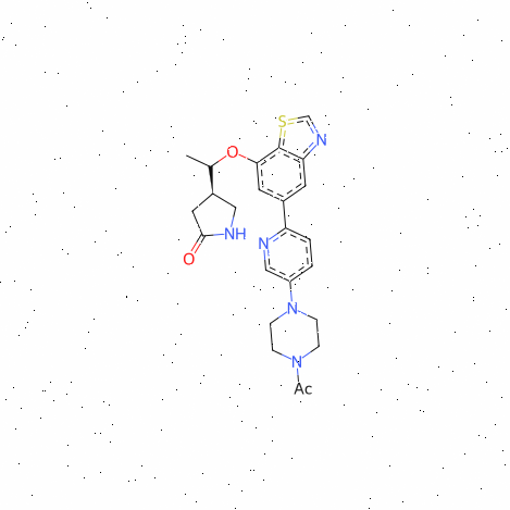 CC(=O)N1CCN(c2ccc(-c3cc(OC(C)[C@H]4CNC(=O)C4)c4scnc4c3)nc2)CC1